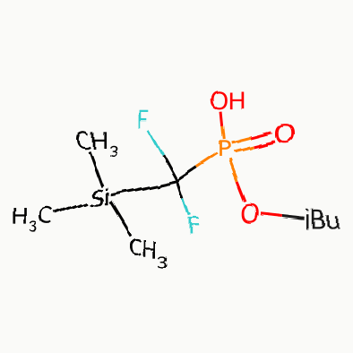 CCC(C)OP(=O)(O)C(F)(F)[Si](C)(C)C